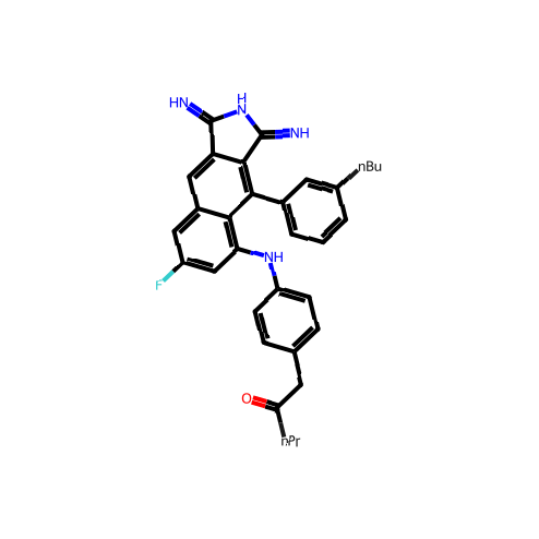 CCCCc1cccc(-c2c3c(cc4cc(F)cc(Nc5ccc(CC(=O)CCC)cc5)c24)C(=N)NC3=N)c1